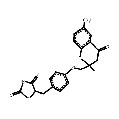 CC1(COc2ccc(CC3SC(=O)NC3=O)cc2)CC(=O)c2cc(C(=O)O)ccc2O1